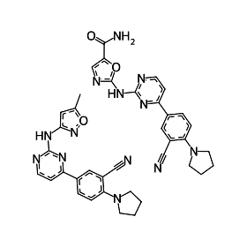 Cc1cc(Nc2nccc(-c3ccc(N4CCCC4)c(C#N)c3)n2)no1.N#Cc1cc(-c2ccnc(Nc3ncc(C(N)=O)o3)n2)ccc1N1CCCC1